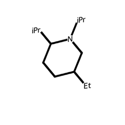 CCC1CCC(C(C)C)N(C(C)C)C1